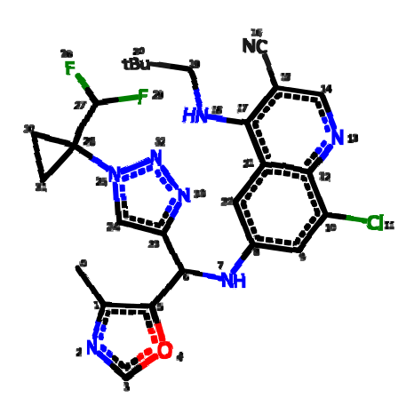 Cc1ncoc1C(Nc1cc(Cl)c2ncc(C#N)c(NCC(C)(C)C)c2c1)c1cn(C2(C(F)F)CC2)nn1